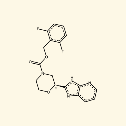 O=C(OCc1c(F)cccc1F)N1CCO[C@H](c2nc3cccnc3[nH]2)C1